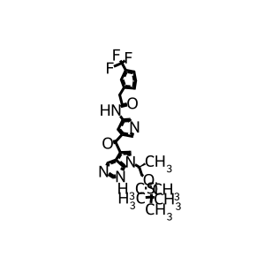 C[C@@H](CO[Si](C)(C)C(C)(C)C)n1cc(C(=O)c2cncc(NC(=O)Cc3cccc(C(F)(F)F)c3)c2)c2cncnc21